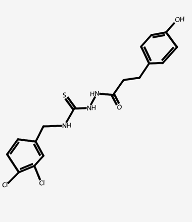 O=C(CCc1ccc(O)cc1)NNC(=S)NCc1ccc(Cl)c(Cl)c1